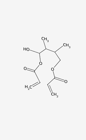 C=CC(=O)OCC(C)C(C)C(O)OC(=O)C=C